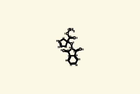 BOC(=O)C1(ON2C(=O)c3ccccc3C2=O)CN=NC1